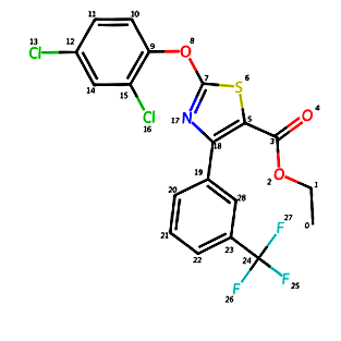 CCOC(=O)c1sc(Oc2ccc(Cl)cc2Cl)nc1-c1cccc(C(F)(F)F)c1